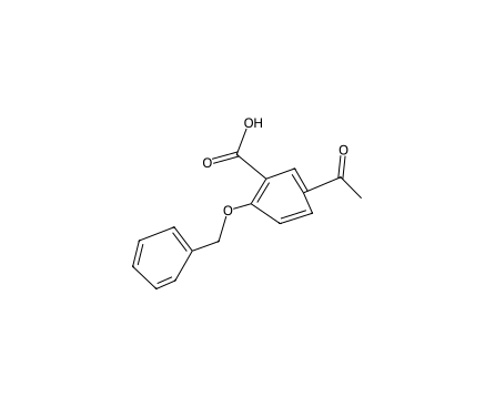 CC(=O)c1ccc(OCc2ccccc2)c(C(=O)O)c1